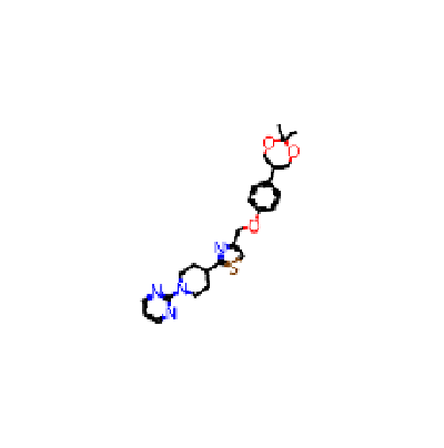 CC1(C)OCC(c2ccc(OCc3csc(C4CCN(c5ncccn5)CC4)n3)cc2)CO1